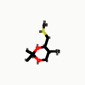 CCC1COC(C)(C)OC1CSC(C)=O